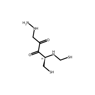 NNCC(=O)C(=O)[C@H](CS)NCS